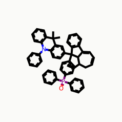 C=CC1CC=CC=C2c3ccccc3C(c3ccc(P(=O)(c4ccccc4)c4ccccc4)cc3)(c3ccc4c(c3)C(C)(C)c3ccccc3N4c3ccccc3)C21